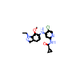 CCn1ncc2ccc(Nc3cc(NC(=O)C4CC4)ncc3Cl)c(OC)c21